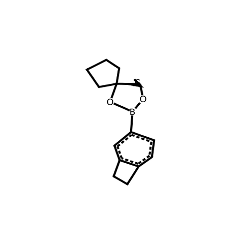 c1cc2c(cc1B1OC3(CCCC3)C3(CCCC3)O1)CC2